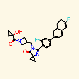 O=C(N1CC(CN2C(=O)C3(CC3)N=C2c2ccc(C3=CC=C4C=C(F)CCC4C3)cc2F)C1)C1(O)CC1